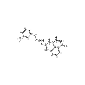 O=C1NNC2NC(CNCCc3cccc(C(F)(F)F)c3)=Nc3cccc1c32